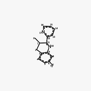 CC1Cc2ccc(F)cc2N=C1c1ccccn1